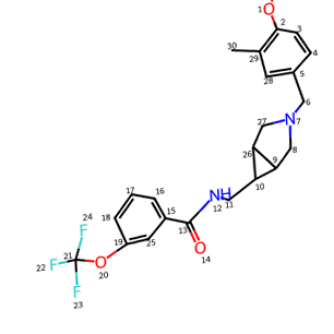 COc1ccc(CN2CC3C(CNC(=O)c4cccc(OC(F)(F)F)c4)C3C2)cc1C